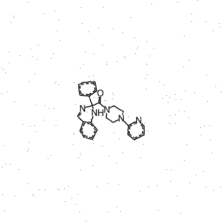 O=C(N1CCN(c2ccccn2)CC1)C1(c2ccccc2)N=Cc2ccccc2N1